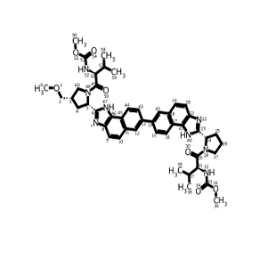 COC[C@H]1C[C@@H](c2nc3ccc4cc(-c5ccc6c(ccc7nc([C@@H]8CCCN8C(=O)[C@@H](NC(=O)OC)C(C)C)[nH]c76)c5)ccc4c3[nH]2)N(C(=O)[C@@H](NC(=O)OC)C(C)C)C1